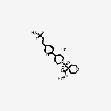 CC(F)(F)CCc1ccc(C2CCN(S(=O)(=O)C3(C(=O)NO)CCOCC3)CC2)nc1.Cl